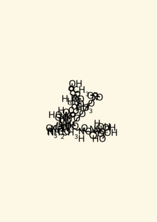 CC(C)[C@H](NC(=O)[C@@H](CCCCNC(=O)COC1CCCCC/C(N[C@@H]2O[C@H](CO)[C@H](O)[C@H](O)[C@H]2O)=C\1N)NC(=O)CCOCCOCCOCCOCCN1C(=O)C=CC1=O)C(=O)N[C@@H](CCCNC(N)=O)C(=O)N[C@@H](CO)C(=O)Nc1ccc2c(c1)[C@@]1(C)CCC[C@](C)(C(=O)NC(=O)[C@@]3(C)CCC[C@]4(C)c5cc(O)ccc5CC[C@@H]34)[C@@H]1CC2